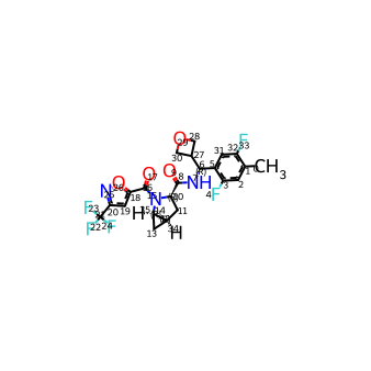 Cc1cc(F)c([C@H](NC(=O)[C@H]2C[C@H]3C[C@H]3N2C(=O)c2cc(C(F)(F)F)no2)C2COC2)cc1F